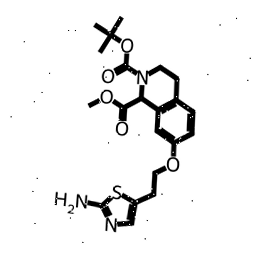 COC(=O)C1c2cc(OCCc3cnc(N)s3)ccc2CCN1C(=O)OC(C)(C)C